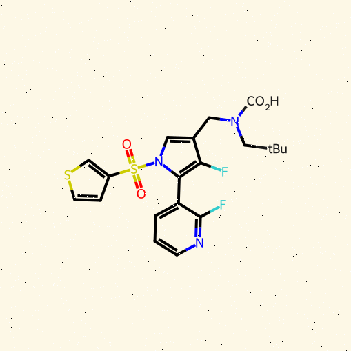 CC(C)(C)CN(Cc1cn(S(=O)(=O)c2ccsc2)c(-c2cccnc2F)c1F)C(=O)O